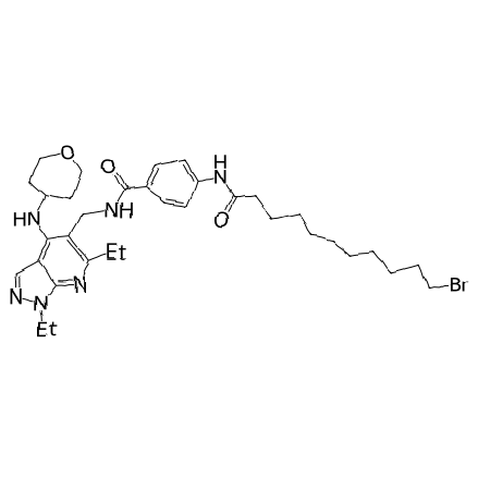 CCc1nc2c(cnn2CC)c(NC2CCOCC2)c1CNC(=O)c1ccc(NC(=O)CCCCCCCCCCBr)cc1